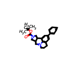 CC(C)(C)OC(=O)N1CC2CN3CCCc4cc(-c5ccccc5)cc(c43)C2C1